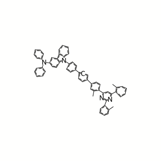 Cc1ccccc1-c1cc(-c2ccc(-c3ccc(-c4ccc(-n5c6ccccc6c6cc(N(c7ccccc7)c7ccccc7)ccc65)cc4)cc3)cc2C)nc(-c2ccccc2C)n1